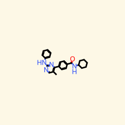 Cc1cnc(Nc2ccccc2)nc1-c1ccc(C(=O)NC2CCCCC2)cc1